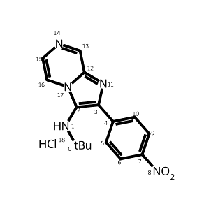 CC(C)(C)Nc1c(-c2ccc([N+](=O)[O-])cc2)nc2cnccn12.Cl